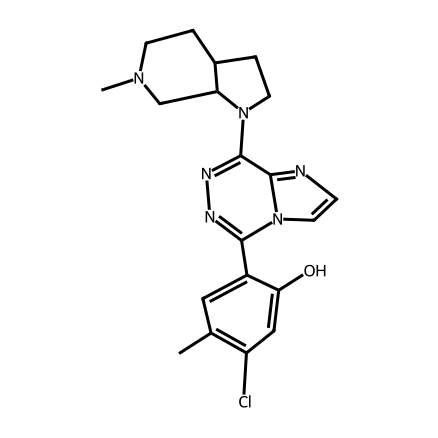 Cc1cc(-c2nnc(N3CCC4CCN(C)CC43)c3nccn23)c(O)cc1Cl